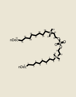 CCCCCCCCCCCCCCCCCC[N+](C)(C)CCOS(=O)(=O)OCC[N+](C)(C)CCCCCCCCCCCCCCCCCC